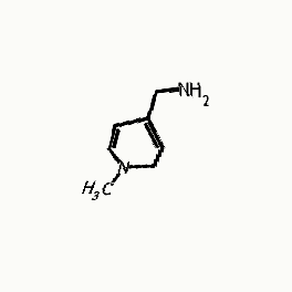 CN1C=CC(CN)=CC1